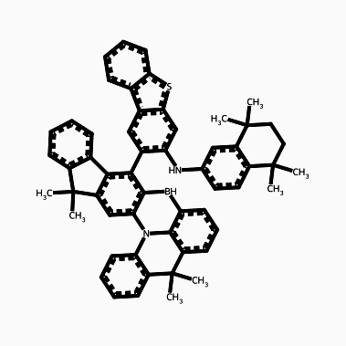 CC1(C)CCC(C)(C)c2cc(Nc3cc4sc5ccccc5c4cc3-c3c4c(cc5c3-c3ccccc3C5(C)C)N3c5ccccc5C(C)(C)c5cccc(c53)B4)ccc21